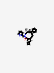 CCC(C)C[C@]1(c2ccccc2)CCCC(CC2CCC2)C(C)C(=O)N(Cc2ccccn2)CCC1